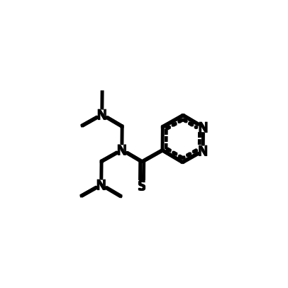 CN(C)CN(CN(C)C)C(=S)c1ccnnc1